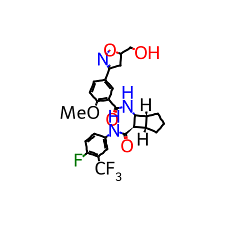 COc1ccc(C2=NOC(CO)C2)cc1C(=O)N[C@H]1[C@@H]2CCC[C@@H]2[C@H]1C(=O)Nc1ccc(F)c(C(F)(F)F)c1